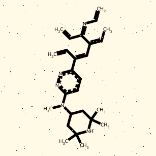 C=C\N=C(C=C)/C(=C\C)/C=C(\C=C)c1ccc(N(C)C2CC(C)(C)NC(C)(C)C2)nn1